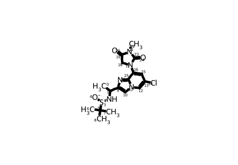 CC(N[S+]([O-])C(C)(C)C)c1cn2cc(Cl)cc(N3CC(=O)N(C)C3=O)c2n1